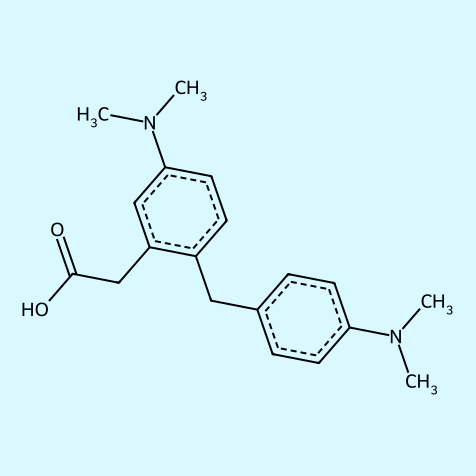 CN(C)c1ccc(Cc2ccc(N(C)C)cc2CC(=O)O)cc1